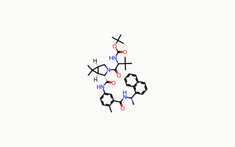 Cc1ccc(NC(=O)[C@@H]2[C@@H]3[C@H](CN2C(=O)[C@@H](NC(=O)OC(C)(C)C)C(C)(C)C)C3(C)C)cc1C(=O)N[C@H](C)c1cccc2ccccc12